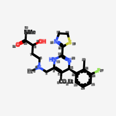 CCOC(=O)C1=C(CN(CC)CCC(O)C(=O)NC)NC(C2=NCCS2)=N[C@H]1c1cccc(F)c1C